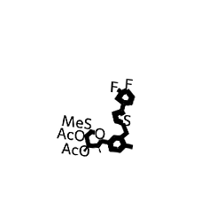 CS[C@H]1OC(c2ccc(C)c(Cc3ccc(-c4ccc(F)c(F)c4)s3)c2)[C@H](C)[C@@H](OC(C)=O)[C@@H]1OC(C)=O